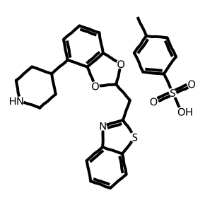 Cc1ccc(S(=O)(=O)O)cc1.c1cc2c(c(C3CCNCC3)c1)OC(Cc1nc3ccccc3s1)O2